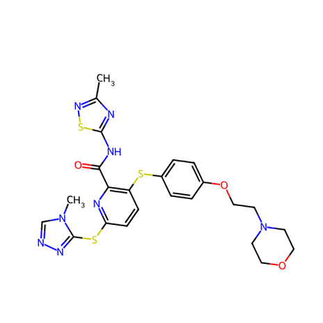 Cc1nsc(NC(=O)c2nc(Sc3nncn3C)ccc2Sc2ccc(OCCN3CCOCC3)cc2)n1